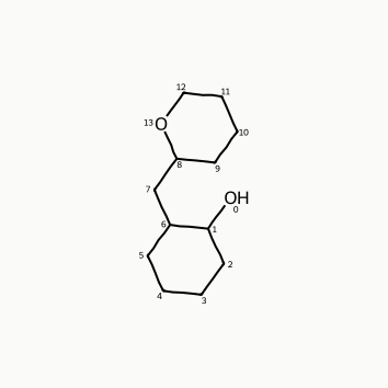 OC1CCCCC1CC1CCCCO1